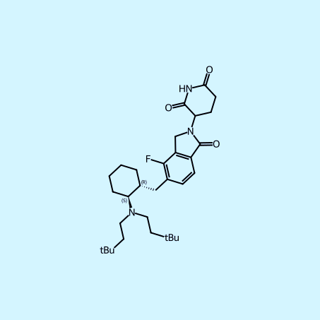 CC(C)(C)CCN(CCC(C)(C)C)[C@H]1CCCC[C@@H]1Cc1ccc2c(c1F)CN(C1CCC(=O)NC1=O)C2=O